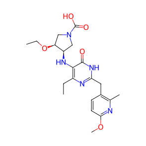 CCO[C@H]1CN(C(=O)O)C[C@H]1Nc1c(CC)nc(Cc2ccc(OC)nc2C)[nH]c1=O